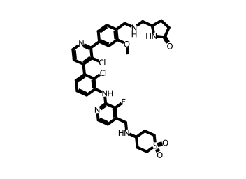 COc1cc(-c2nccc(-c3cccc(Nc4nccc(CNC5CCS(=O)(=O)CC5)c4F)c3Cl)c2Cl)ccc1CNCC1CCC(=O)N1